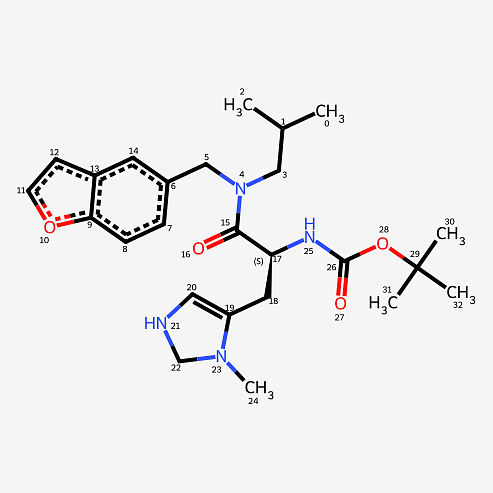 CC(C)CN(Cc1ccc2occc2c1)C(=O)[C@H](CC1=CNCN1C)NC(=O)OC(C)(C)C